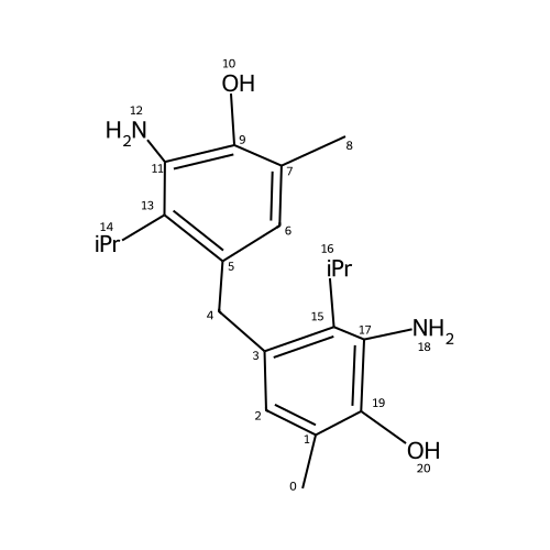 Cc1cc(Cc2cc(C)c(O)c(N)c2C(C)C)c(C(C)C)c(N)c1O